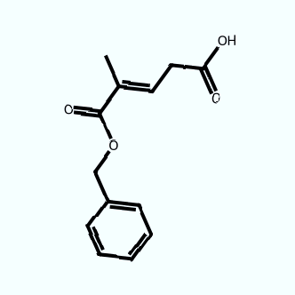 CC(=CCC(=O)O)C(=O)OCc1ccccc1